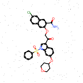 NC(=O)c1cc2cc(Cl)ccc2cc1OCC(=O)c1cn(S(=O)(=O)c2ccccc2)c2cc(OC3CCOCC3)ccc12